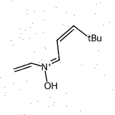 C=C/[N+](O)=C\C=C/C(C)(C)C